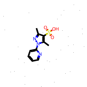 Cc1nn(-c2ccccn2)c(C)c1S(=O)(=O)O